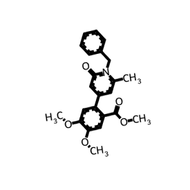 COC(=O)c1cc(OC)c(OC)cc1-c1cc(C)n(Cc2ccccc2)c(=O)c1